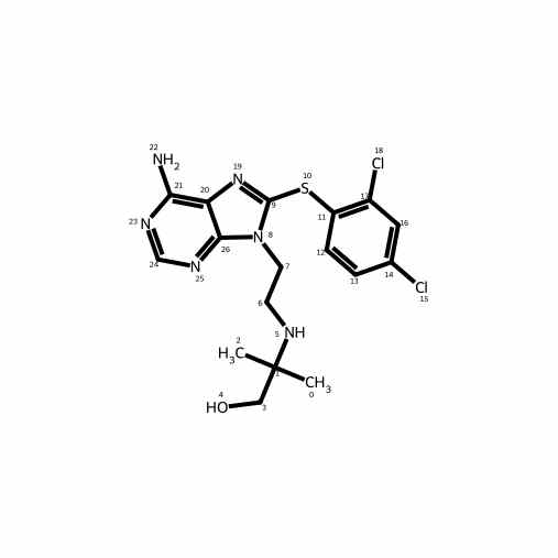 CC(C)(CO)NCCn1c(Sc2ccc(Cl)cc2Cl)nc2c(N)ncnc21